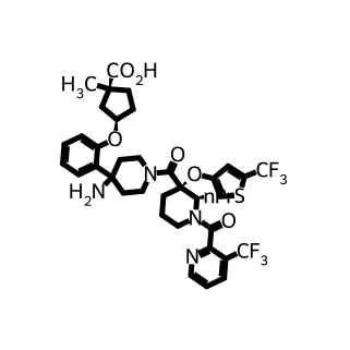 CCC[C@H]1N(C(=O)c2ncccc2C(F)(F)F)CCC[C@@]1(Oc1csc(C(F)(F)F)c1)C(=O)N1CCC(N)(c2ccccc2O[C@@H]2CC[C@](C)(C(=O)O)C2)CC1